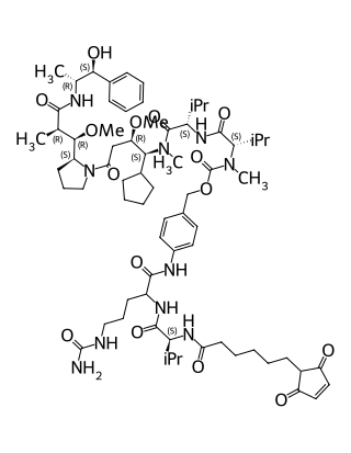 CO[C@H]([C@@H](C)C(=O)N[C@H](C)[C@@H](O)c1ccccc1)[C@@H]1CCCN1C(=O)C[C@@H](OC)[C@H](C1CCCC1)N(C)C(=O)[C@@H](NC(=O)[C@H](C(C)C)N(C)C(=O)OCc1ccc(NC(=O)C(CCCNC(N)=O)NC(=O)[C@@H](NC(=O)CCCCCC2C(=O)C=CC2=O)C(C)C)cc1)C(C)C